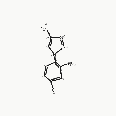 O=[N+]([O-])c1cc(Cl)ccc1-n1cc(C(F)(F)F)nn1